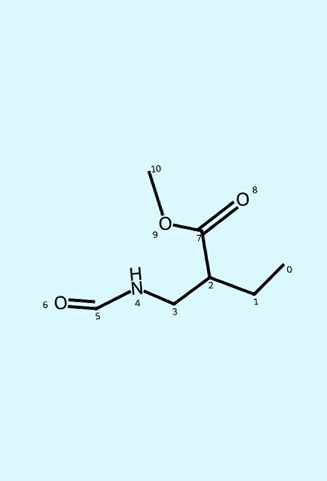 CCC(CNC=O)C(=O)OC